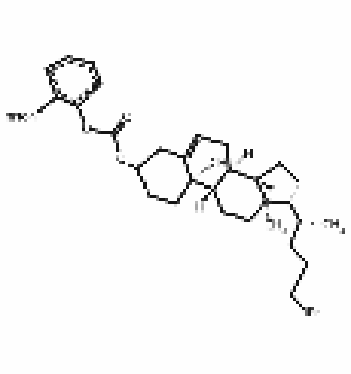 CCCCCCCCCc1ccccc1OC(=O)O[C@H]1CC[C@@]2(C)C(=CC[C@H]3[C@@H]4CC[C@H]([C@H](C)CCCC(C)C)[C@@]4(C)CC[C@@H]32)C1